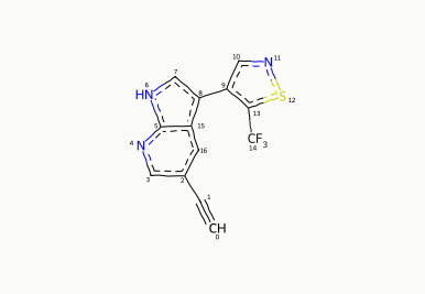 C#Cc1cnc2[nH]cc(-c3cnsc3C(F)(F)F)c2c1